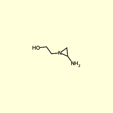 NC1CN1CCO